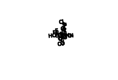 Cc1c(N2CCCC2=O)cccc1S(=O)(=O)N[C@@H](Cc1cc(-c2ccc(Cl)s2)on1)C(=O)N1CCN(C)CC1.O=C(O)C(F)(F)F